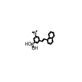 CN(C)c1cc(/C=C/c2cccc3ccccc23)cc(B(O)O)c1